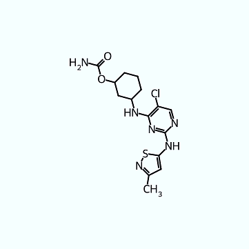 Cc1cc(Nc2ncc(Cl)c(NC3CCCC(OC(N)=O)C3)n2)sn1